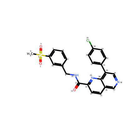 CS(=O)(=O)c1cccc(CNC(=O)c2ccc3cncc(-c4ccc(Cl)cc4)c3n2)c1